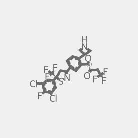 O=C(CC(F)(F)F)[C@H]1OC2(CNC2)c2ccc(C3=NS[C@@](c4cc(Cl)c(F)c(Cl)c4)(C(F)(F)F)C3)cc21